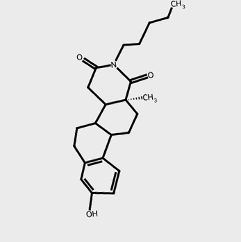 CCCCCN1C(=O)CC2C3CCc4cc(O)ccc4C3CC[C@]2(C)C1=O